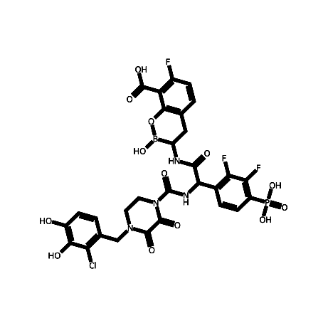 O=C(O)c1c(F)ccc2c1OB(O)C(NC(=O)C(NC(=O)N1CCN(Cc3ccc(O)c(O)c3Cl)C(=O)C1=O)c1ccc(P(=O)(O)O)c(F)c1F)C2